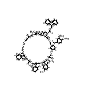 COc1ccc(CC[C@H]2OC(=O)[C@@H]3CN(C(=O)OCC4c5ccccc5-c5ccccc54)CCN3C(=O)C(=O)C(C)(C)COC(=O)/C=C/CCCCN(C)C(=O)[C@@H](Cc3ccccc3)NC(=O)CN(C)C(=O)[C@@H](Cc3ccccc3)NC(=O)[C@H](Cc3ccc(O)cc3)N(C)C(=O)COc3cccc2c3)cc1OC